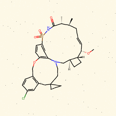 CO[C@H]1/C=C/C[C@H](C)[C@@H](C)C(=O)NS(=O)(=O)c2ccc3c(c2)N(CCC2(CC2)Cc2cc(Cl)ccc2CO3)C[C@@H]2CC[C@H]21